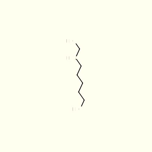 [CH2]C[SiH2]CCCCCC